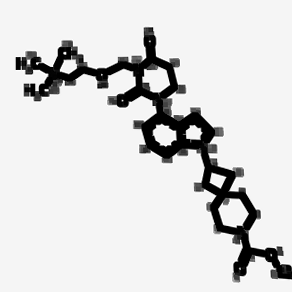 CC(C)(C)OC(=O)N1CCC2(CC1)CC(n1ccc3c(N4CCC(=O)N(COCC[Si](C)(C)C)C4=O)cccc31)C2